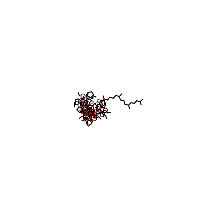 CCO[Si](OCC)(OCC)C1(S(SS)(SCC)C(=C(C)C(C(CC(C)CCCC(C)CCCCC(C)CCCC(C)CCCC(C)C)S(SS)(SCC)C2([Si](OCC)(OCC)OCC)CC3CCC2C3)(S(SS)(SCC)C2([Si](OCC)(OCC)OCC)CC3CCC2C3)S(SS)(SCC)C2([Si](OCC)(OCC)OCC)CC3CCC2C3)S(SS)(SCC)C2([Si](OCC)(OCC)OCC)CC3CCC2C3)CC2CCC1C2